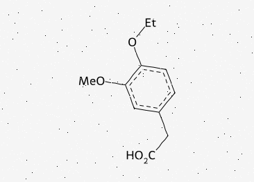 CCOc1ccc(CC(=O)O)cc1OC